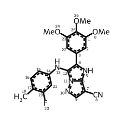 COc1cc(-c2[nH]c3c(C#N)cnn3c2Nc2ccc(C)c(F)c2)cc(OC)c1OC